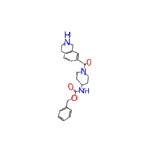 O=C(NC1CCN(C(=O)c2ccc3c(c2)CNCC3)CC1)OCc1ccccc1